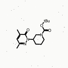 Cc1cc(C)c(=O)n(C2CCCN(C(=O)OC(C)(C)C)C2)n1